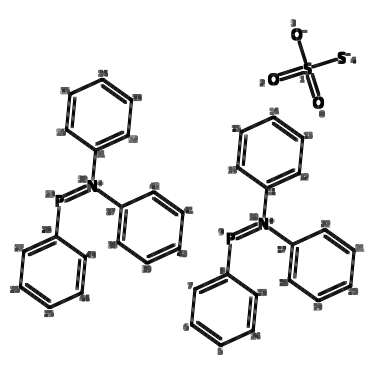 O=S(=O)([O-])[S-].c1ccc(P=[N+](c2ccccc2)c2ccccc2)cc1.c1ccc(P=[N+](c2ccccc2)c2ccccc2)cc1